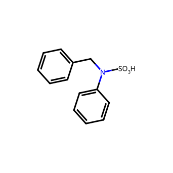 O=S(=O)(O)N(Cc1ccccc1)c1ccccc1